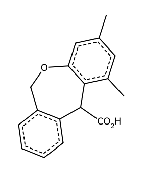 Cc1cc(C)c2c(c1)OCc1ccccc1C2C(=O)O